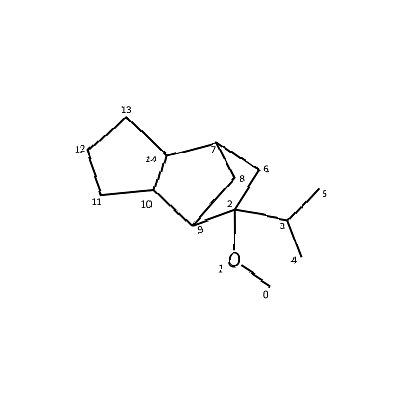 COC1(C(C)C)CC2CC1C1CCCC21